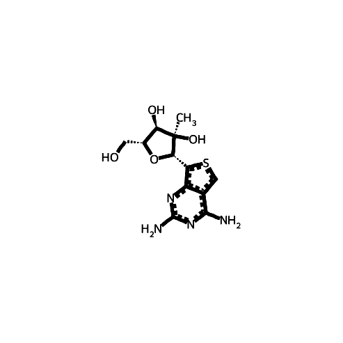 C[C@@]1(O)[C@H](O)[C@@H](CO)O[C@H]1c1scc2c(N)nc(N)nc12